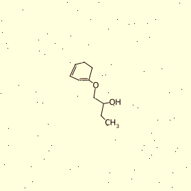 CCC(O)COC1=CC=CCC1